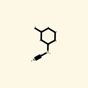 CC1CCCC(OC#N)C1